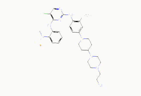 COc1cc(N2CCC(N3CCN(CCN)CC3)CC2)ccc1Nc1ncc(Cl)c(Nc2ccccc2N(C)[SH]=O)n1